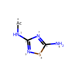 CC(=O)Nc1nsc(N)n1